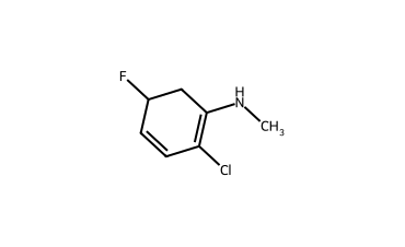 CNC1=C(Cl)C=CC(F)C1